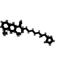 O=C(NCCCCCSCc1cccs1)c1cc2cccc(O)c2cc1O